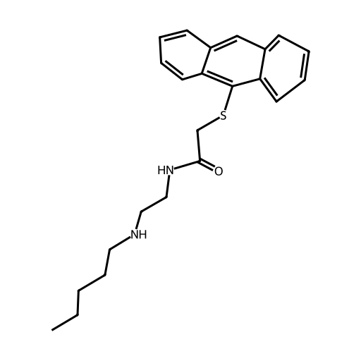 CCCCCNCCNC(=O)CSc1c2ccccc2cc2ccccc12